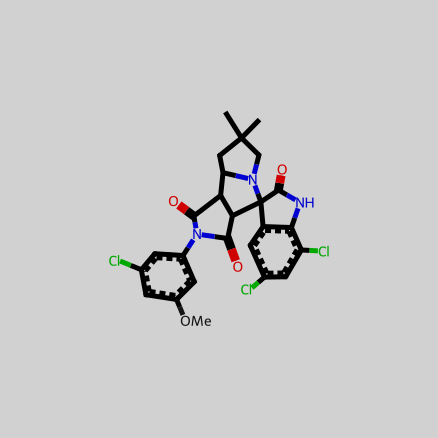 COc1cc(Cl)cc(N2C(=O)C3C4CC(C)(C)CN4C4(C(=O)Nc5c(Cl)cc(Cl)cc54)C3C2=O)c1